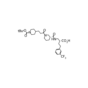 CC(C)(C)OC(=O)N1CCC(CCC(=O)N2CCC[C@@H](C(=O)NC[C@@H](CCc3cccc(C(F)(F)F)c3)C(=O)O)C2)CC1